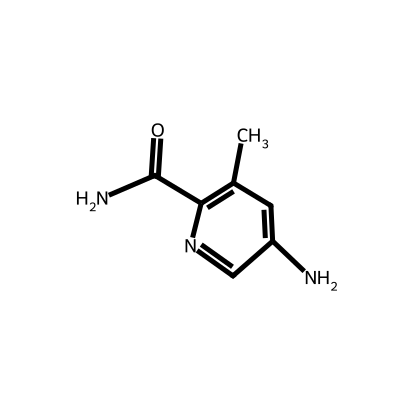 Cc1cc(N)cnc1C(N)=O